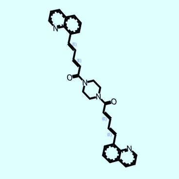 O=C(/C=C/C=C/c1cccc2cccnc12)N1CCN(C(=O)/C=C/C=C/c2cccc3cccnc23)CC1